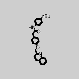 CCCCc1ccc(NC(=O)Cc2ccc(OCc3ccc4ccccc4n3)cc2)cc1